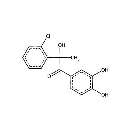 [CH2]C(O)(C(=O)c1ccc(O)c(O)c1)c1ccccc1Cl